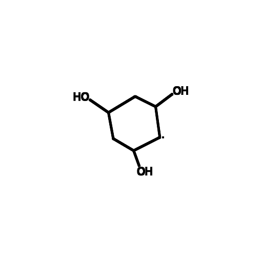 OC1[CH]C(O)CC(O)C1